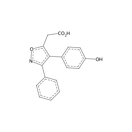 O=C(O)Cc1onc(-c2ccccc2)c1-c1ccc(O)cc1